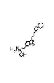 C[C@](N)(CO)CCc1ccc2c(CCCCOC3CCCCC3)csc2c1